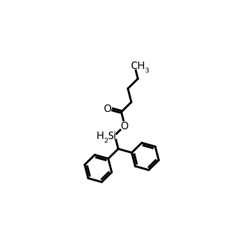 CCCCC(=O)O[SiH2]C(c1ccccc1)c1ccccc1